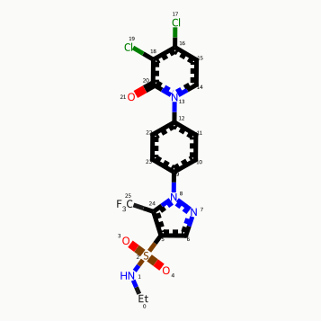 CCNS(=O)(=O)c1cnn(-c2ccc(-n3ccc(Cl)c(Cl)c3=O)cc2)c1C(F)(F)F